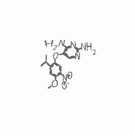 COc1cc(C(C)C)c(Oc2cnc(N)nc2N)cc1[N+](=O)[O-]